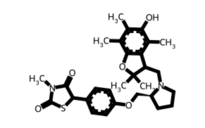 Cc1c(C)c2c(c(C)c1O)C(CN1CCC[C@H]1COc1ccc(C3SC(=O)N(C)C3=O)cc1)C(C)(C)O2